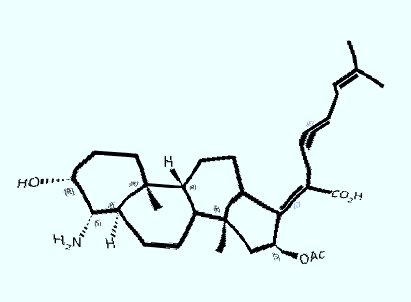 CC(=O)O[C@H]1C[C@@]2(C)C(CC[C@@H]3C2CC[C@H]2[C@H](N)[C@H](O)CC[C@]32C)/C1=C(\C=C\C=C(C)C)C(=O)O